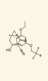 CCOc1cc(OCC(F)(F)F)ccc1[C@@]12CC(O)=C(C#N)C(=O)N1C2